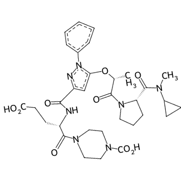 C[C@@H](Oc1cc(C(=O)N[C@@H](CCC(=O)O)C(=O)N2CCN(C(=O)O)CC2)nn1-c1ccccc1)C(=O)N1CCC[C@H]1C(=O)N(C)C1CC1